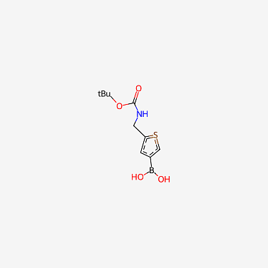 CC(C)(C)OC(=O)NCc1cc(B(O)O)cs1